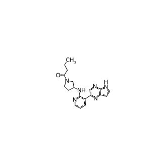 CCCC(=O)N1CCC(Nc2ncccc2-c2cnc3[nH]ccc3n2)C1